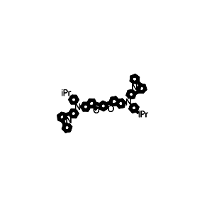 CC(C)c1ccc(N(c2ccc3c(ccc4c5cc6c(cc5oc34)oc3c4ccc(N(c5ccc(C(C)C)cc5)c5ccc7c(c5)c5cccc8c9ccccc9n7c85)cc4ccc63)c2)c2ccc3c(c2)c2cccc4c5ccccc5n3c42)cc1